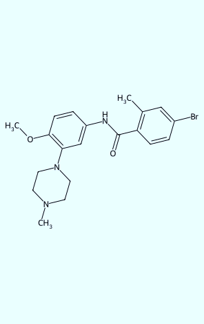 COc1ccc(NC(=O)c2ccc(Br)cc2C)cc1N1CCN(C)CC1